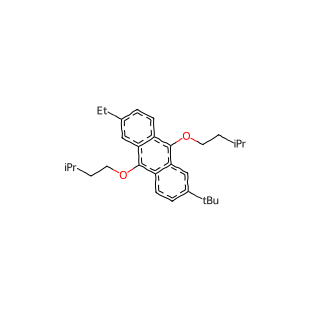 CCc1ccc2c(OCCC(C)C)c3cc(C(C)(C)C)ccc3c(OCCC(C)C)c2c1